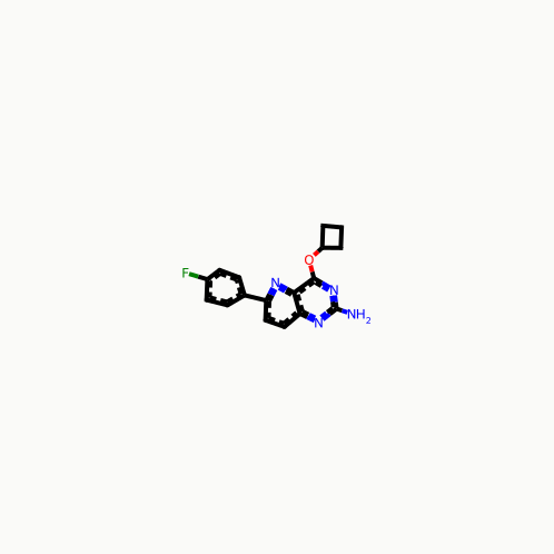 Nc1nc(OC2CCC2)c2nc(-c3ccc(F)cc3)ccc2n1